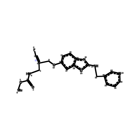 CC(C)(C)OC(=O)NC/C(=C/F)COc1ccc2nc(NCc3cccnc3)oc2c1